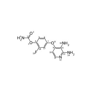 NC(=O)Oc1ccc(Oc2ccnc(N)c2N)cc1F